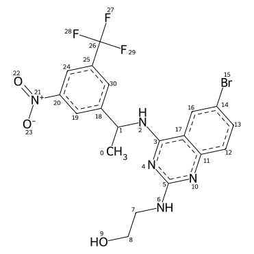 CC(Nc1nc(NCCO)nc2ccc(Br)cc12)c1cc([N+](=O)[O-])cc(C(F)(F)F)c1